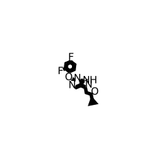 O=C(Cc1n[nH]c2nc(Oc3ccc(F)cc3F)ncc12)C1CC1